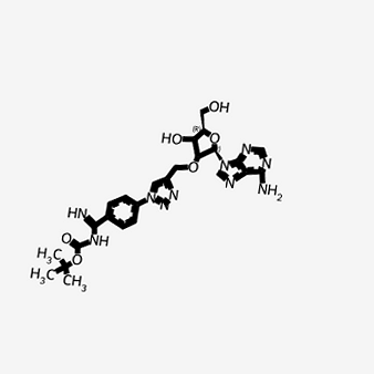 CC(C)(C)OC(=O)NC(=N)c1ccc(-n2cc(COC3C(O)[C@@H](CO)O[C@H]3n3cnc4c(N)ncnc43)nn2)cc1